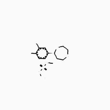 CNS(=O)(=O)NC[C@H]1CNCCO[C@@H]1c1ccc(F)c(Cl)c1.Cl